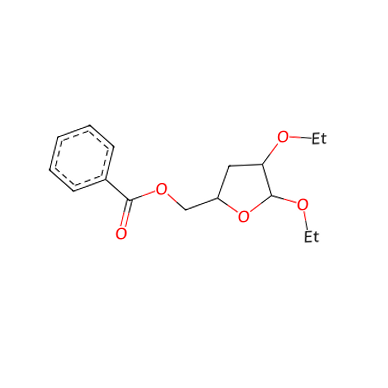 CCOC1CC(COC(=O)c2ccccc2)OC1OCC